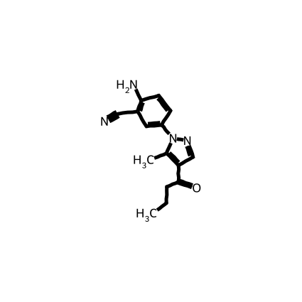 CCCC(=O)c1cnn(-c2ccc(N)c(C#N)c2)c1C